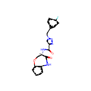 O=C(N[C@H]1COc2ccccc2NC1=O)c1cn(Cc2ccc(F)cc2)nn1